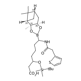 CC1(C)[C@@H]2C[C@H]3OB(C(CCCC(CC(=O)O)O[Si](C)(C)C(C)(C)C)NC(=O)Cc4cccs4)O[C@@]3(C)[C@H]1C2